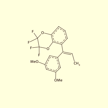 CC=C(c1cc(OC)cc(OC)c1)c1cccc2c1OC(F)(F)C(F)(F)O2